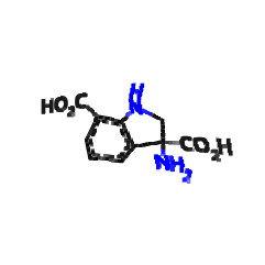 NC1(C(=O)O)CNc2c(C(=O)O)cccc21